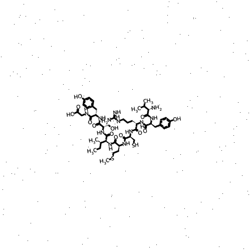 CC[C@H](C)[C@H](NC(=O)[C@H](CCSC)NC(=O)[C@H](CS)NC(=O)[C@H](CCCNC(=N)N)NC(=O)[C@H](Cc1ccc(O)cc1)NC(=O)[C@@H](N)C(C)C)C(=O)N[C@@H](CO)C(=O)N[C@@H](Cc1ccc(O)cc1)C(=O)NCC(=O)O